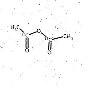 C[13C](=O)O[13C](C)=O